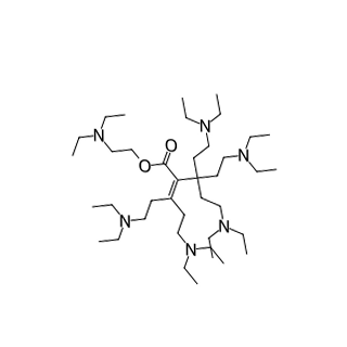 CCN(CC)CCOC(=O)C(=C(CCN(CC)CC)CCN(CC)CC)C(CCN(CC)CC)(CCN(CC)CC)CCN(CC)CC